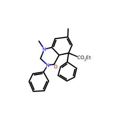 CCOC(=O)C1(c2ccccc2)C=C(C)C=C2C1C(=O)N(c1ccccc1)CN2C